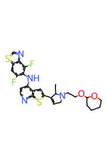 CC1C(c2cc3c(Nc4c(F)cc5scnc5c4F)ccnc3s2)=CCN1CCOC1CCCCO1